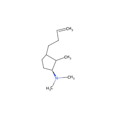 C=CCCC1CC[C@H](N(C)C)C1C